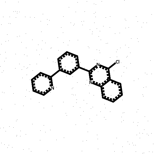 Clc1nc(-c2cccc(-c3ccccn3)c2)nc2ccccc12